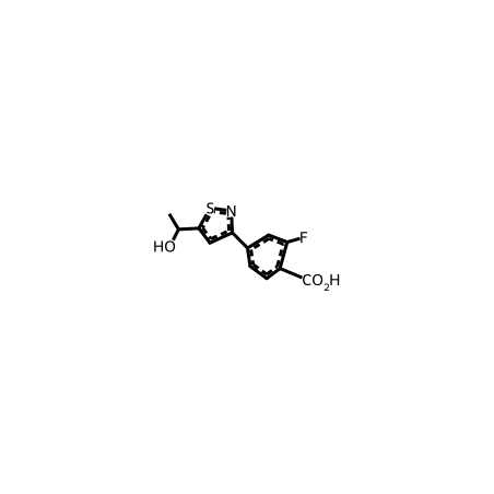 CC(O)c1cc(-c2ccc(C(=O)O)c(F)c2)ns1